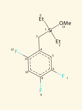 CC[Si](CC)(Cc1cc(F)c(F)cc1F)OC